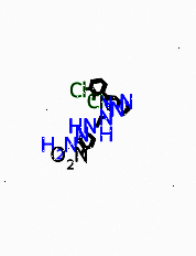 Nc1nc(NCCNc2nc(-c3cccc(Cl)c3Cl)cc3nccn23)ccc1[N+](=O)[O-]